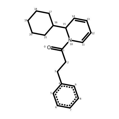 O=C(CCc1ccccc1)N1C=CC=CC1C1CCCCC1